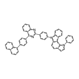 c1ccc(-n2ccc3ccc4c(c5ccccc5n4-c4ccc(-c5nc(-c6ccc(-c7cccc8ccccc78)cc6)c6ccccc6n5)cc4)c32)cc1